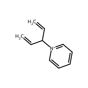 C=CC(C=C)[n+]1ccccc1